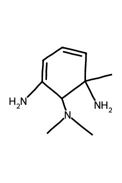 CN(C)C1C(N)=CC=CC1(C)N